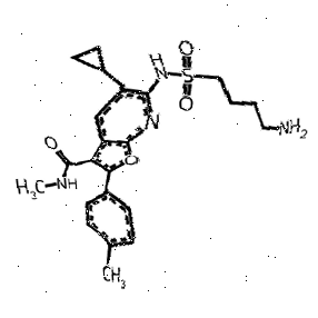 CNC(=O)c1c(-c2ccc(C)cc2)oc2nc(NS(=O)(=O)CCCCN)c(C3CC3)cc12